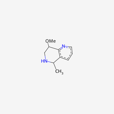 COC1CNC(C)c2cccnc21